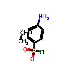 CC=O.Nc1ccc(S(=O)(=O)Cl)cc1